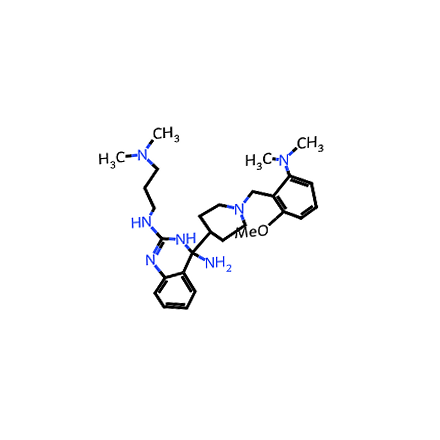 COc1cccc(N(C)C)c1CN1CCC(C2(N)NC(NCCCN(C)C)=Nc3ccccc32)CC1